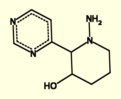 NN1CCCC(O)C1c1ccncn1